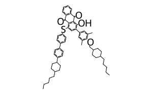 CCCCCC1CCC(COc2c(C)cc(-c3cc(Sc4ccc(-c5ccc(C6CCC(CCCCC)CC6)cc5)cc4)c4c(c3O)C(=O)c3ccccc3C4=O)cc2C)CC1